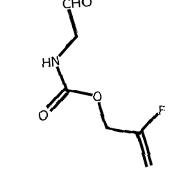 C=C(F)COC(=O)NCC=O